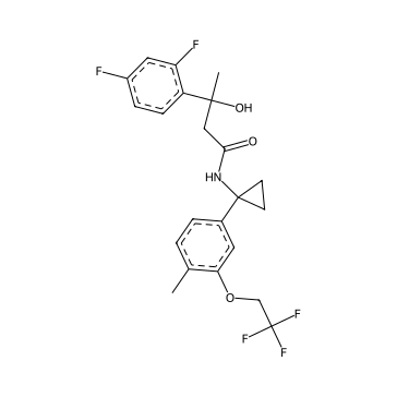 Cc1ccc(C2(NC(=O)CC(C)(O)c3ccc(F)cc3F)CC2)cc1OCC(F)(F)F